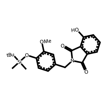 COc1cc(CN2C(=O)c3cccc(O)c3C2=O)ccc1O[Si](C)(C)C(C)(C)C